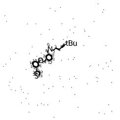 CN(CC=CC#CC(C)(C)C)Cc1cccc(COc2cccc(-c3ccsc3)c2)c1